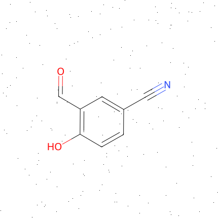 N#Cc1ccc(O)c(C=O)c1